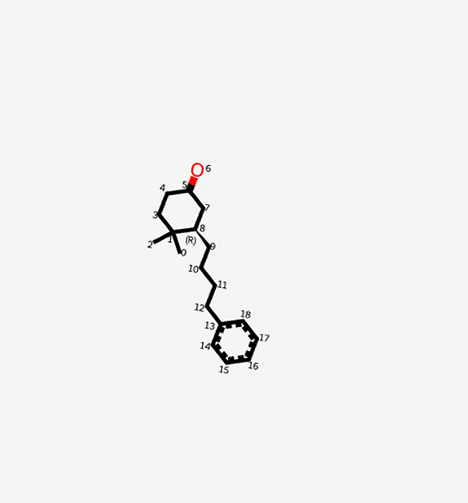 CC1(C)CCC(=O)C[C@H]1CCCCc1ccccc1